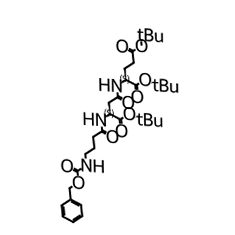 CC(C)(C)OC(=O)CC[C@H](NC(=O)C[C@H](NC(=O)CCCNC(=O)OCc1ccccc1)C(=O)OC(C)(C)C)C(=O)OC(C)(C)C